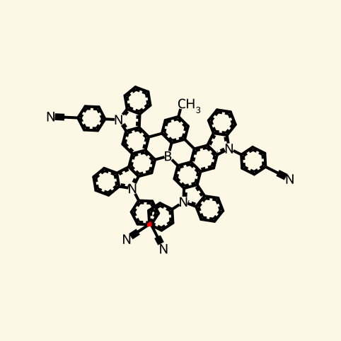 Cc1cc2c3c(c1)-c1c4c(cc5c(c4cc4c1c1ccccc1n4-c1ccc(C#N)cc1)c1ccccc1n5-c1ccc(C#N)cc1)B3c1cc3c(c4cc5c(c-2c14)c1ccccc1n5-c1ccc(C#N)cc1)c1ccccc1n3-c1ccc(C#N)cc1